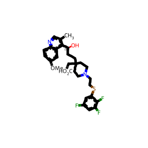 COc1ccc2ncc(C)c([C@@H](O)CCC3(CC(=O)O)CCN(CCSc4cc(F)cc(F)c4F)CC3)c2c1